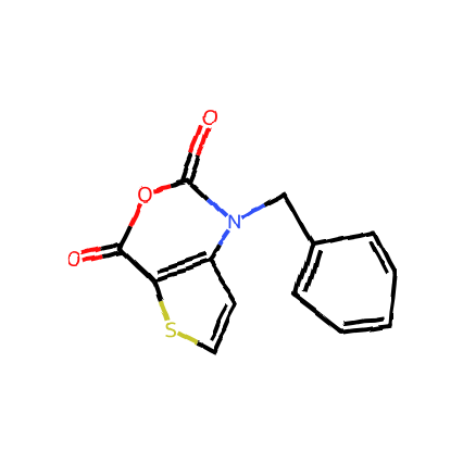 O=c1oc(=O)n(Cc2ccccc2)c2ccsc12